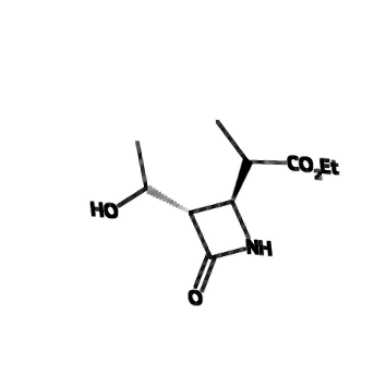 CCOC(=O)C(C)[C@H]1NC(=O)[C@@H]1C(C)O